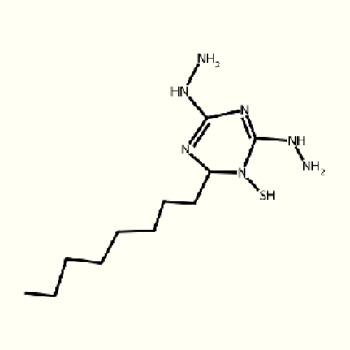 CCCCCCCCC1N=C(NN)N=C(NN)N1S